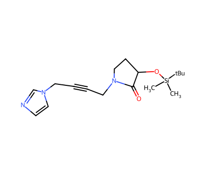 CC(C)(C)[Si](C)(C)OC1CCN(CC#CCn2ccnc2)C1=O